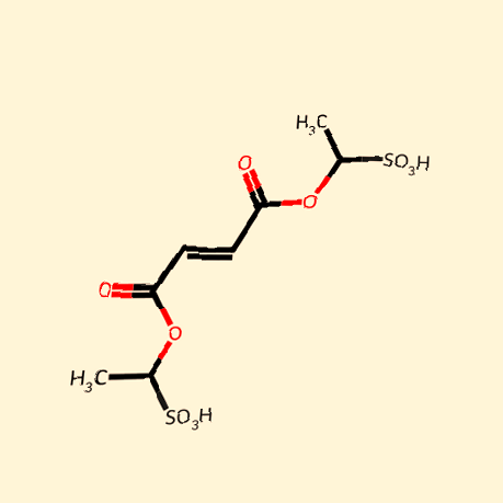 CC(OC(=O)C=CC(=O)OC(C)S(=O)(=O)O)S(=O)(=O)O